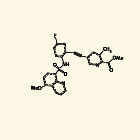 COC(=O)c1ncc(C#Cc2cc(F)ccc2NS(=O)(=O)c2ccc(OC)c3cccnc23)cc1C